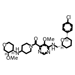 COc1c(NC[C@H]2CCC[C@@H](c3ccc(Cl)cc3)O2)ncnc1C(=O)N1CCC(N[C@@H]2CCOC[C@@H]2OC)CC1